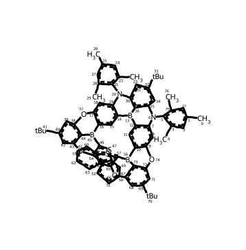 Cc1cc(C)c(N2c3cc4c(cc3B3c5cc6c(cc5N(c5c(C)cc(C)cc5C)c5cc(C(C)(C)C)cc2c53)Oc2cc(C(C)(C)C)cc3c2B6c2sc5ccccc5c2O3)B2c3sc5ccccc5c3Oc3cc(C(C)(C)C)cc(c32)O4)c(C)c1